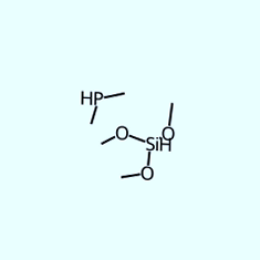 CO[SiH](OC)OC.CPC